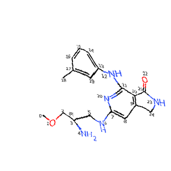 COC[C@H](N)CNc1cc2c(c(Nc3cccc(C)c3)n1)C(=O)NC2